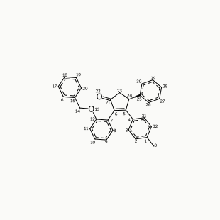 Cc1ccc(C2=C(c3ccccc3OCc3ccccc3)C(=O)C[C@H]2c2ccccc2)cc1